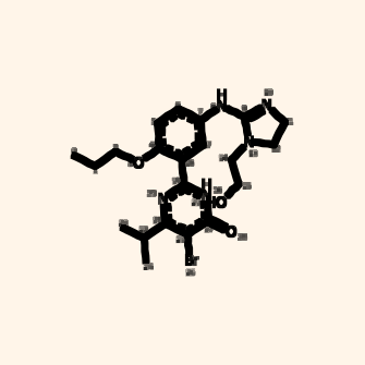 CCCOc1ccc(NC2=NCCN2CCO)cc1-c1nc(C(C)C)c(Br)c(=O)[nH]1